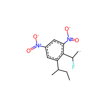 [CH2]C(F)c1c(C(C)CC)cc([N+](=O)[O-])cc1[N+](=O)[O-]